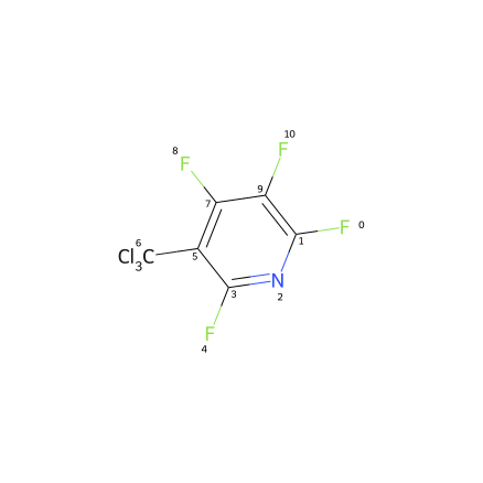 Fc1nc(F)c(C(Cl)(Cl)Cl)c(F)c1F